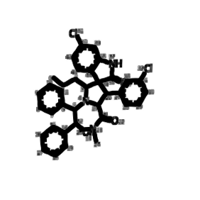 CCCC1N(C(c2ccccc2)C(O)c2ccccc2)C(C(=O)N(C)C)C(c2cccc(Cl)c2)C12C(=O)Nc1cc(Cl)ccc12